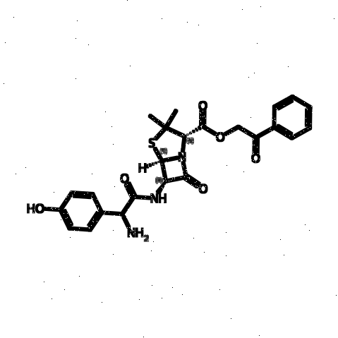 CC1(C)S[C@@H]2[C@H](NC(=O)C(N)c3ccc(O)cc3)C(=O)N2[C@H]1C(=O)OCC(=O)c1ccccc1